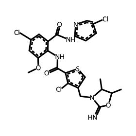 COc1cc(Cl)cc(C(=O)Nc2ccc(Cl)cn2)c1NC(=O)c1scc(CN2C(=N)OC(C)C2C)c1Cl